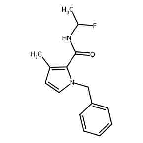 Cc1ccn(Cc2ccccc2)c1C(=O)NC(C)F